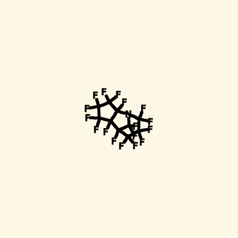 FC1(F)N2C(F)(F)C(F)(C(F)(F)C1(F)F)C1(F)C(F)(F)C(F)(F)C(F)(F)C21F